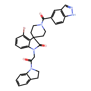 O=C(c1ccc2[nH]ncc2c1)N1CCC2(CC1)C(=O)N(CC(=O)N1CCc3ccccc31)c1cccc(Br)c12